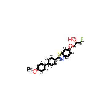 CCOc1ccc(-c2ccc(-c3nc4ccc(OCC(O)CF)cc4s3)cc2)cc1